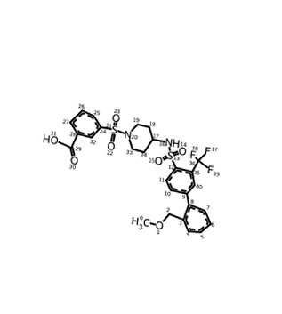 COCc1ccccc1-c1ccc(S(=O)(=O)NC2CCN(S(=O)(=O)c3cccc(C(=O)O)c3)CC2)c(C(F)(F)F)c1